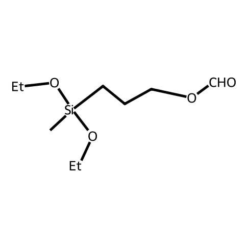 CCO[Si](C)(CCCOC=O)OCC